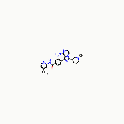 Cc1ccnc(NC(=O)c2ccc(-c3nc([C@@H]4CCCN(C#N)C4)n4ccnc(N)c34)cc2)c1